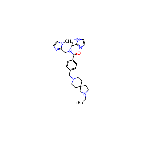 Cn1ccnc1CN(Cc1ncc[nH]1)C(=O)c1ccc(CN2CCC3(CC2)CCN(CC(C)(C)C)C3)cc1